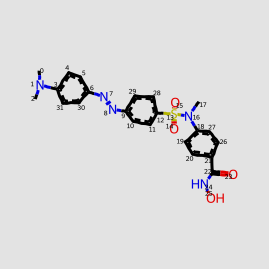 CN(C)c1ccc(N=Nc2ccc(S(=O)(=O)N(C)c3ccc(C(=O)NO)cc3)cc2)cc1